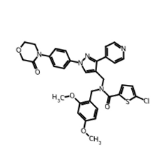 COc1ccc(CN(Cc2cn(-c3ccc(N4CCOCC4=O)cc3)nc2-c2ccncc2)C(=O)c2ccc(Cl)s2)c(OC)c1